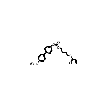 C=CC(=O)OCCCCOC(=O)Oc1ccc(-c2ccc(CCCCC)cc2)cc1